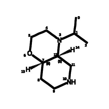 CC(C)N1CCO[C@@H]2CCNC[C@@H]21